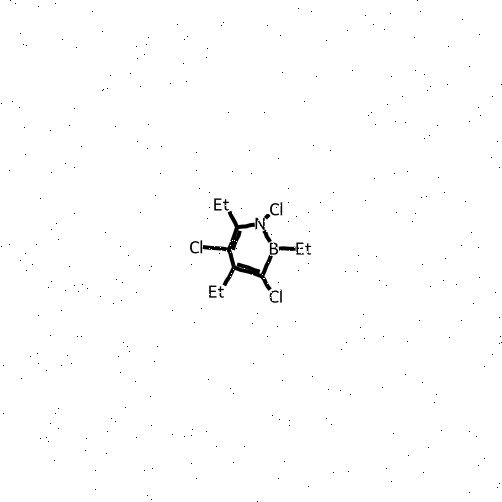 CCB1C(Cl)=C(CC)C(Cl)=C(CC)N1Cl